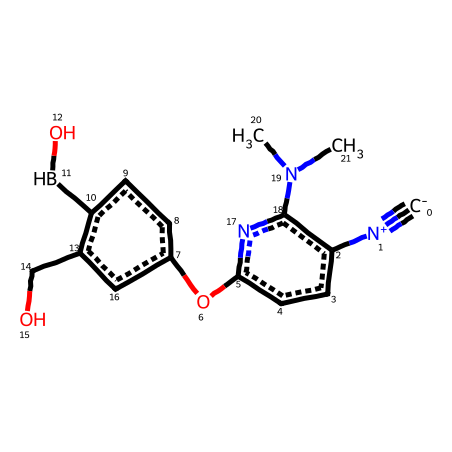 [C-]#[N+]c1ccc(Oc2ccc(BO)c(CO)c2)nc1N(C)C